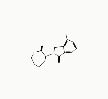 CCc1cccc2c1CN(C1CCCCNC1=O)C2=O